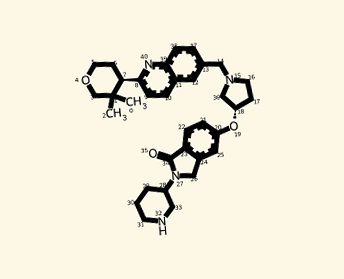 CC1(C)COCC[C@H]1c1ccc2cc(CN3CC[C@H](Oc4ccc5c(c4)CN(C4CCCNC4)C5=O)C3)ccc2n1